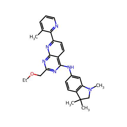 CCOCc1nc(Nc2ccc3c(c2)N(C)CC3(C)C)c2ccc(-c3ncccc3C)nc2n1